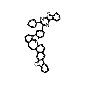 C1=Cc2cccc3c4cc(-c5nc6c(nc5-c5ccccc5)sc5ccccc56)ccc4n(c23)-c2ccc3cc4c(cc3c21)oc1ccccc14